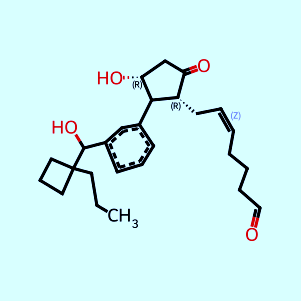 CCCC1(C(O)c2cccc(C3[C@H](O)CC(=O)[C@@H]3C/C=C\CCCC=O)c2)CCC1